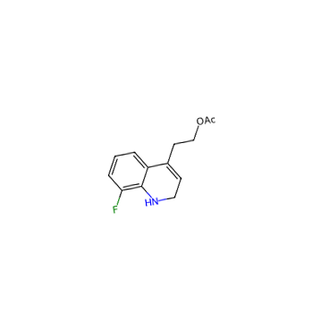 CC(=O)OCCC1=CCNc2c(F)cccc21